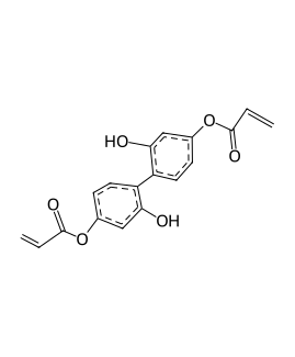 C=CC(=O)Oc1ccc(-c2ccc(OC(=O)C=C)cc2O)c(O)c1